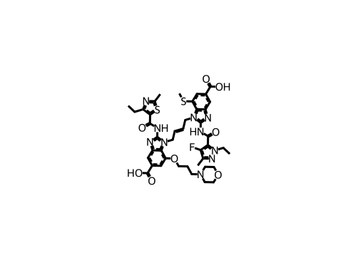 CCc1nc(C)sc1C(=O)Nc1nc2cc(C(=O)O)cc(OCCCN3CCOCC3)c2n1CC=CCn1c(NC(=O)c2c(F)c(C)nn2CC)nc2cc(C(=O)O)cc(SC)c21